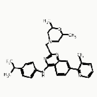 CC1CN(Cc2nc(Nc3ccc(C(C)C(F)(F)F)cc3)c3ccc(-c4ncccc4C(F)(F)F)cc3n2)CC(C)O1